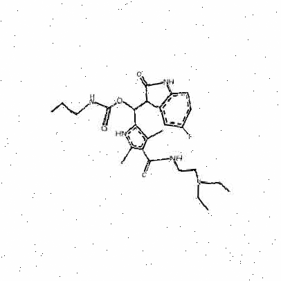 CCCNC(=O)OC(c1[nH]c(C)c(C(=O)NCCN(CC)CC)c1C)C1C(=O)Nc2ccc(F)cc21